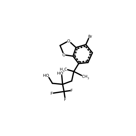 CC(C)(CC(O)(CO)C(F)(F)F)c1ccc(Br)c2c1OCO2